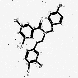 CC(C)(C)c1ccc(CN(CCc2ccc(Cl)c(F)c2)C(=O)c2cc(Cl)cc(C(F)(F)F)c2)cc1